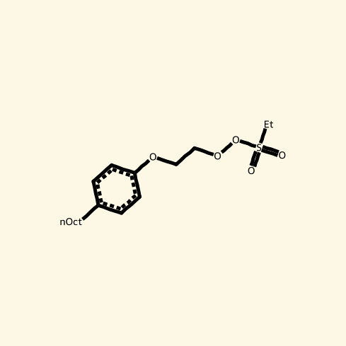 CCCCCCCCc1ccc(OCCOOS(=O)(=O)CC)cc1